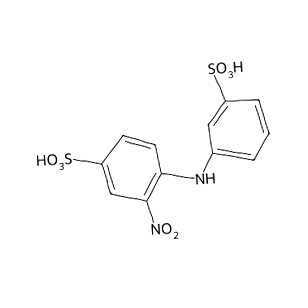 O=[N+]([O-])c1cc(S(=O)(=O)O)ccc1Nc1cccc(S(=O)(=O)O)c1